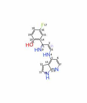 N=C(/C=C\Nc1ccnc2[nH]ccc12)c1cc(F)ccc1O